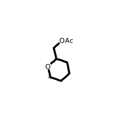 CC(=O)OCC1CCC[C]O1